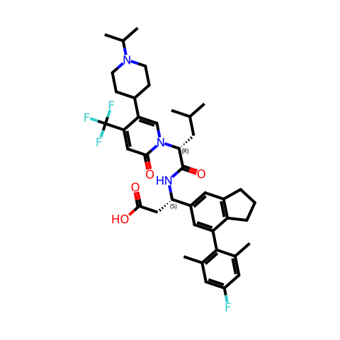 Cc1cc(F)cc(C)c1-c1cc([C@H](CC(=O)O)NC(=O)[C@@H](CC(C)C)n2cc(C3CCN(C(C)C)CC3)c(C(F)(F)F)cc2=O)cc2c1CCC2